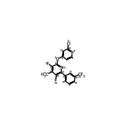 Cc1c(F)c(Oc2ccnc(Cl)c2)nc(-c2cccc(C(F)(F)F)c2)c1F